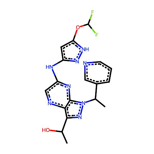 CC(O)c1nn(C(C)c2cccnc2)c2nc(Nc3cc(OC(F)F)[nH]n3)cnc12